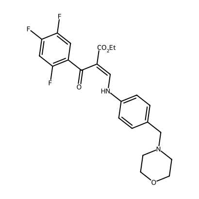 CCOC(=O)C(=CNc1ccc(CN2CCOCC2)cc1)C(=O)c1cc(F)c(F)cc1F